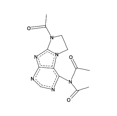 CC(=O)N1CCn2c1nc1ncnc(N(C(C)=O)C(C)=O)c12